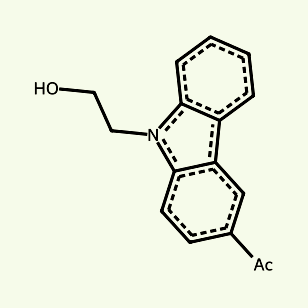 CC(=O)c1ccc2c(c1)c1ccccc1n2CCO